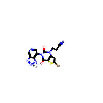 Cn1nnc2cncc(-n3c(=O)c4sc(Br)cc4n(CCC#N)c3=O)c21